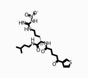 CC(C)C[CH]NC(=O)[C@H](CCCNC(=N)N[N+](=O)[O-])NC(=O)CCCC(=O)c1ccsc1